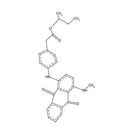 CCC(C)OC(=O)Cc1ccc(Nc2ccc(NC)c3c2C(=O)c2ccccc2C3=O)cc1